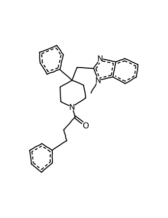 Cn1c(CC2(c3ccccc3)CCN(C(=O)CCc3ccccc3)CC2)nc2ccccc21